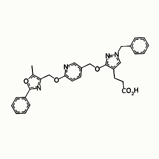 Cc1oc(-c2ccccc2)nc1COc1ccc(COc2nn(Cc3ccccc3)cc2CCC(=O)O)cn1